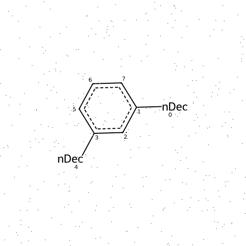 CCCCCCCCCCc1[c]c(CCCCCCCCCC)ccc1